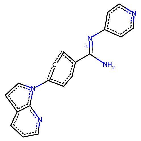 N/C(=N\c1ccncc1)c1ccc(-n2ccc3cccnc32)cc1